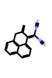 [C-]#[N+]C([N+]#[C-])=C1C(=C)Cc2cccc3cccc1c23